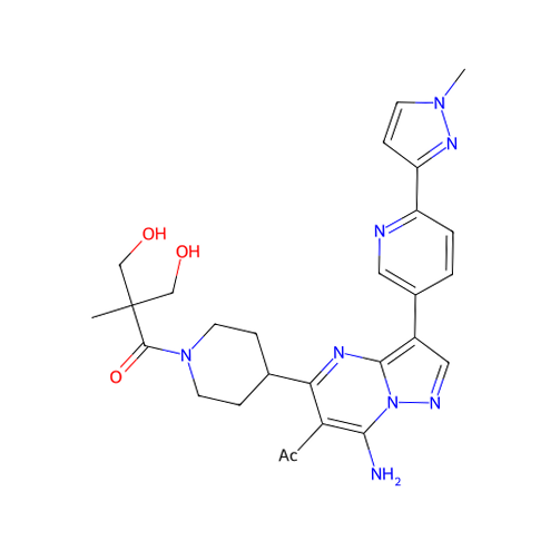 CC(=O)c1c(C2CCN(C(=O)C(C)(CO)CO)CC2)nc2c(-c3ccc(-c4ccn(C)n4)nc3)cnn2c1N